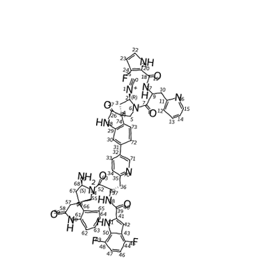 C#[N+][C@@H]1C[C@@]2(CN1C(=O)C(Cc1ccccn1)NC(=O)c1[nH]ccc1F)C(=O)Nc1cc(-c3ccc(C[C@H](NC(=O)c4cc5c(F)ccc(F)c5[nH]4)C(=O)N4C[C@@]5(CC(=O)Nc6ccccc65)C[C@H]4N)nc3)ccc12